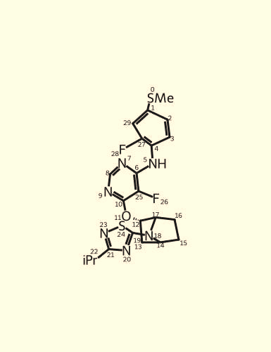 CSc1ccc(Nc2ncnc(O[C@H]3CC4CCC3N4c3nc(C(C)C)ns3)c2F)c(F)c1